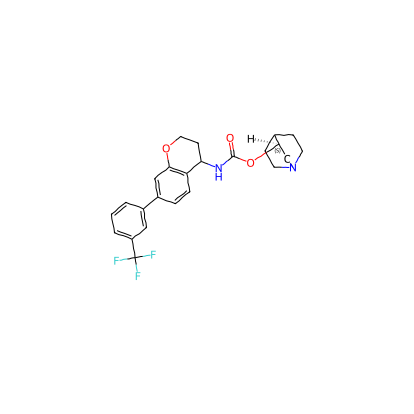 O=C(NC1CCOc2cc(-c3cccc(C(F)(F)F)c3)ccc21)O[C@@H]1CN2CCC1CC2